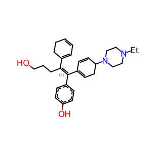 CCN1CCN(C2C=CC(/C(=C(/CCCO)C3=CC=CCC3)c3ccc(O)cc3)=CC2)CC1